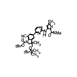 CNC(=O)c1nn(C)cc1Nc1nccc(-c2cc(C#N)c3c(c2)[C@@](C)(CO[Si](C)(C)C(C)(C)C)CN3C(=O)OC(C)(C)C)n1